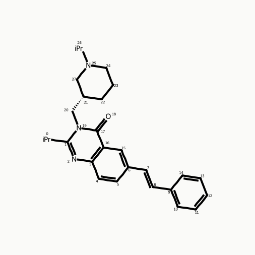 CC(C)c1nc2ccc(/C=C/c3ccccc3)cc2c(=O)n1C[C@H]1CCCN(C(C)C)C1